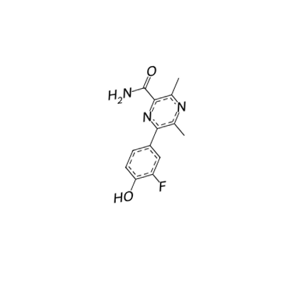 Cc1nc(C)c(-c2ccc(O)c(F)c2)nc1C(N)=O